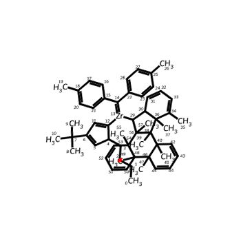 CCCCC1C=C(C(C)(C)C)C=[C]1[Zr](=[C](c1ccc(C)cc1)c1ccc(C)cc1)[CH]1C2C=CC=C(C)C2(C)C2(C)C3(C)C=CC=CC3(C)C3(C)C=CC=CC3(C)C12C